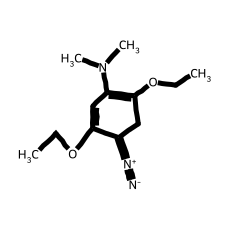 CCOC1=CC(N(C)C)=C(OCC)CC1=[N+]=[N-]